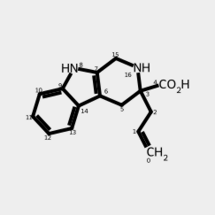 C=CCC1(C(=O)O)Cc2c([nH]c3ccccc23)CN1